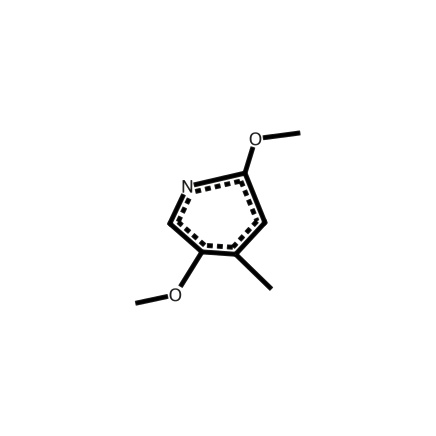 COc1cc(C)c(OC)cn1